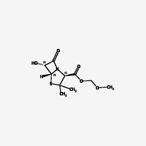 COCOC(=O)[C@@H]1N2C(=O)[C@@H](O)[C@H]2SC1(C)C